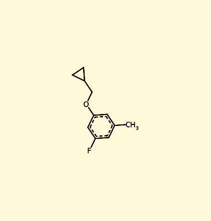 Cc1cc(F)cc(OCC2CC2)c1